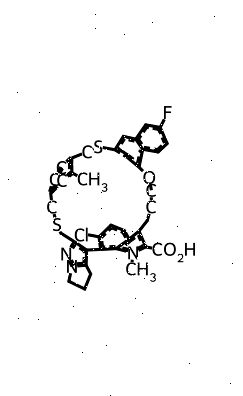 Cc1cc2ccc1CSc1cc(c3ccc(F)cc3c1)OCCCc1c(C(=O)O)n(C)c3c(c(Cl)ccc13)-c1c(nn3c1CCC3)CSC2